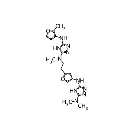 Cc1occc1Nc1nnc(N(C)CCc2cc(Nc3nnc(N(C)C)[nH]3)co2)[nH]1